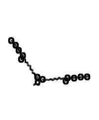 COCCOCCOCCOC(=O)CCCCCCCCCCOc1ccc(C)cc1OCCCCCCCCCCC(=O)OCCOCCOCCOC